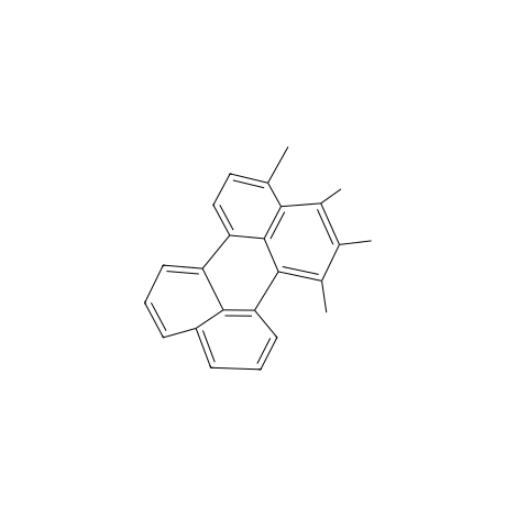 Cc1c(C)c2c(C)ccc3c4cccc5cccc(c(c1C)c23)c54